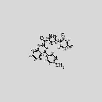 Cc1ccc(C2CN(C(=O)c3nnc(-c4ccc(F)cc4F)s3)Cc3ccccc32)cn1